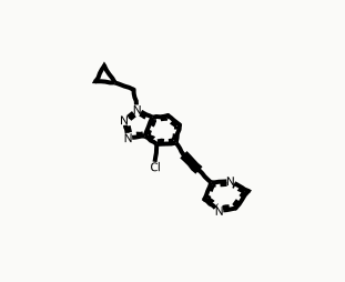 Clc1c(C#Cc2cnccn2)ccc2c1nnn2CC1CC1